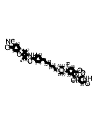 CC1(C)[C@H](NC(=O)c2ccc(CCCCCCN3CCN(c4cc5c(cc4F)C(=O)N(C4CCC(=O)NC4=O)C5O)CC3)cc2)C(C)(C)[C@H]1Oc1ccc(C#N)c(Cl)c1